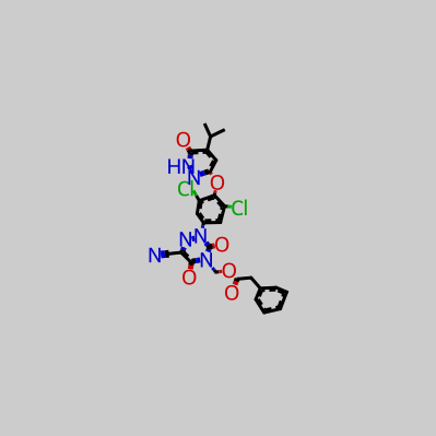 CC(C)c1cc(Oc2c(Cl)cc(-n3nc(C#N)c(=O)n(COC(=O)Cc4ccccc4)c3=O)cc2Cl)n[nH]c1=O